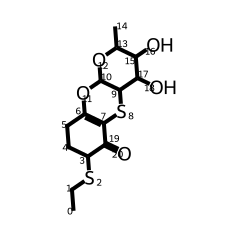 CCSC1CCC2=C(SC3C(O2)OC(C)C(O)C3O)C1=O